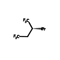 CC(C)[C@H](CC(F)(F)F)C(F)(F)F